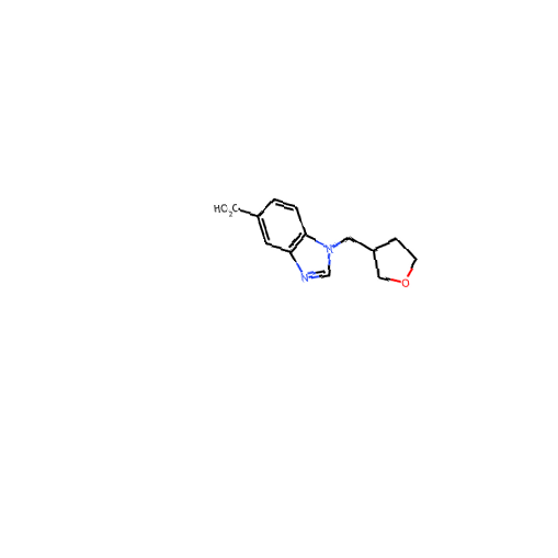 O=C(O)c1ccc2c(c1)ncn2CC1CCOC1